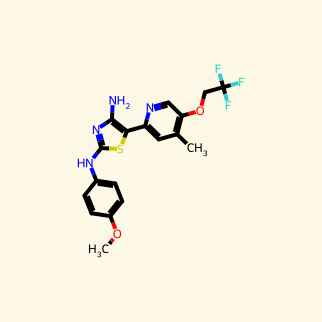 COc1ccc(Nc2nc(N)c(-c3cc(C)c(OCC(F)(F)F)cn3)s2)cc1